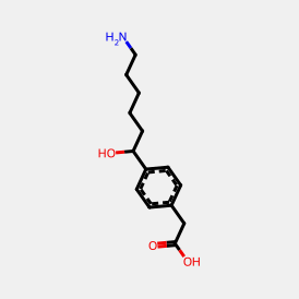 NCCCCCC(O)c1ccc(CC(=O)O)cc1